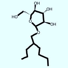 CCCCC(CCC)COC1O[C@H](CO)[C@@H](O)[C@H](O)[C@H]1O